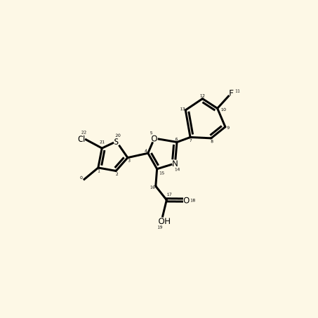 Cc1cc(-c2oc(-c3ccc(F)cc3)nc2CC(=O)O)sc1Cl